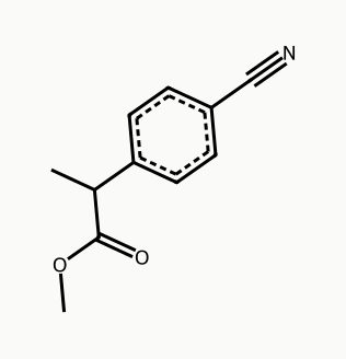 COC(=O)C(C)c1ccc(C#N)cc1